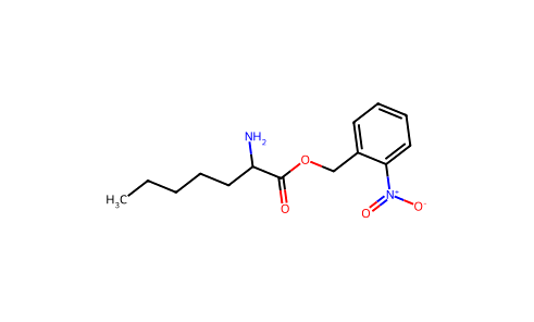 CCCCCC(N)C(=O)OCc1ccccc1[N+](=O)[O-]